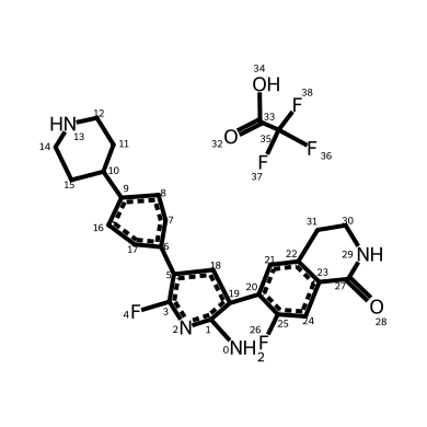 Nc1nc(F)c(-c2ccc(C3CCNCC3)cc2)cc1-c1cc2c(cc1F)C(=O)NCC2.O=C(O)C(F)(F)F